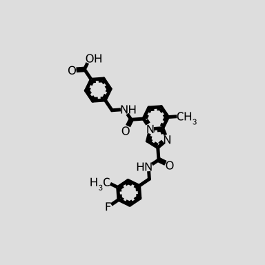 Cc1cc(CNC(=O)c2cn3c(C(=O)NCc4ccc(C(=O)O)cc4)ccc(C)c3n2)ccc1F